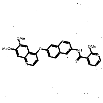 COc1cc2nccc(Oc3ccc4cc(NC(=O)c5cccnc5OC)ccc4c3)c2cc1OC